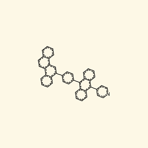 c1ccc2c(c1)ccc1c3ccccc3c(-c3ccc(-c4c5ccccc5c(-c5ccncc5)c5ccccc45)cc3)cc21